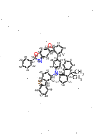 CC1(C)c2ccccc2-c2c(N(c3ccc(-c4cccc5oc6cc7oc(-c8ccccc8)nc7cc6c45)cc3)c3ccc4sc5ccccc5c4c3)cccc21